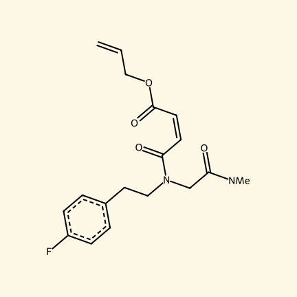 C=CCOC(=O)/C=C\C(=O)N(CCc1ccc(F)cc1)CC(=O)NC